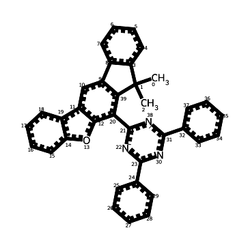 CC1(C)c2ccccc2-c2cc3c(oc4ccccc43)c(-c3nc(-c4ccccc4)nc(-c4ccccc4)n3)c21